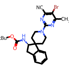 Cc1nc(N2CCC3(CC2)c2ccccc2C[C@H]3NC(=O)OC(C)(C)C)nc(C#N)c1Br